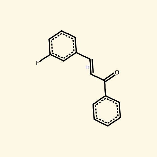 O=C(/C=C/c1cccc(F)c1)c1ccccc1